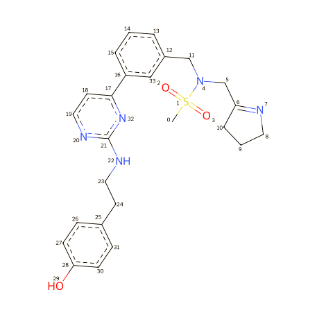 CS(=O)(=O)N(CC1=NCCC1)Cc1cccc(-c2ccnc(NCCc3ccc(O)cc3)n2)c1